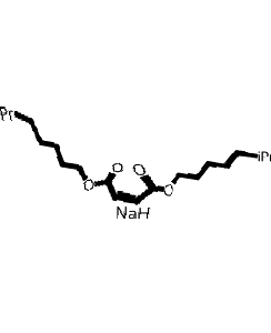 CC(C)CCCCCOC(=O)/C=C\C(=O)OCCCCCC(C)C.[NaH]